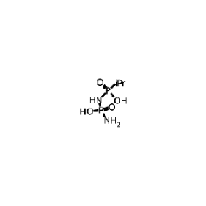 CC(C)P(=O)(O)NP(N)(=O)O